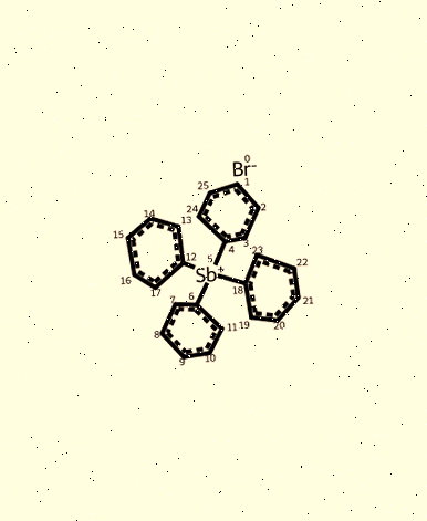 [Br-].c1cc[c]([Sb+]([c]2ccccc2)([c]2ccccc2)[c]2ccccc2)cc1